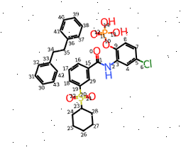 O=C(Nc1cc(Cl)ccc1OP(=O)(O)O)c1cccc(S(=O)(=O)C2CCCCC2)c1.c1ccc(CCc2ccccc2)cc1